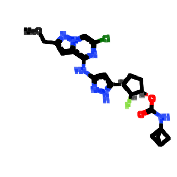 COCc1cc2c(Nc3cc([C@@H]4CC[C@H](OC(=O)NC56CC(C5)C6)[C@H]4F)[nH]n3)nc(Cl)cn2n1